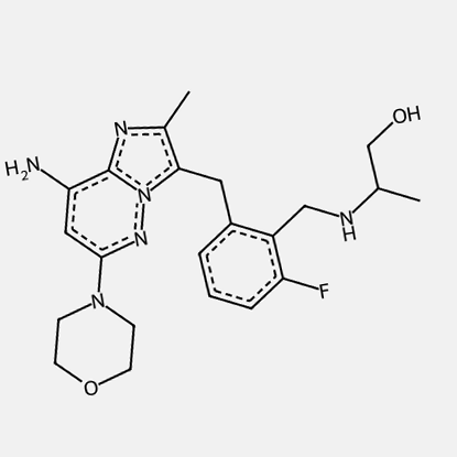 Cc1nc2c(N)cc(N3CCOCC3)nn2c1Cc1cccc(F)c1CNC(C)CO